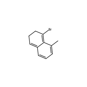 Cc1cccc2c1=C(Br)CCC=2